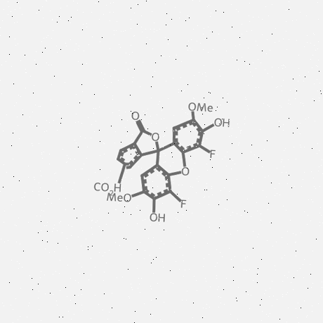 COc1cc2c(c(F)c1O)Oc1c(cc(OC)c(O)c1F)C21OC(=O)c2ccc(C(=O)O)cc21